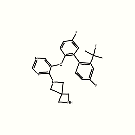 CC(C)(F)c1cc(F)ccc1-c1cc(F)ccc1Oc1cncnc1N1CC2(CNC2)C1